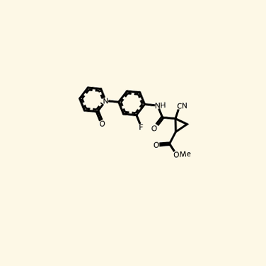 COC(=O)C1CC1(C#N)C(=O)Nc1ccc(-n2ccccc2=O)cc1F